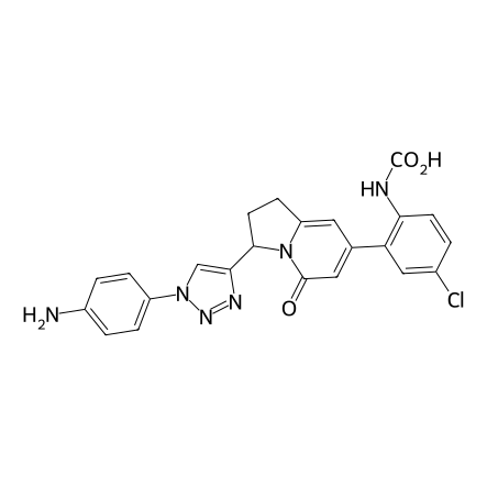 Nc1ccc(-n2cc(C3CCc4cc(-c5cc(Cl)ccc5NC(=O)O)cc(=O)n43)nn2)cc1